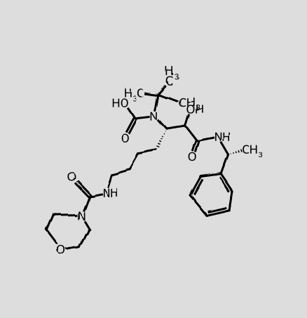 C[C@@H](NC(=O)C(O)[C@H](CCCCNC(=O)N1CCOCC1)N(C(=O)O)C(C)(C)C)c1ccccc1